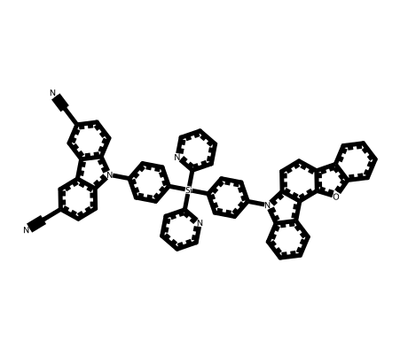 N#Cc1ccc2c(c1)c1cc(C#N)ccc1n2-c1ccc([Si](c2ccc(-n3c4ccccc4c4c5oc6ccccc6c5ccc43)cc2)(c2ccccn2)c2ccccn2)cc1